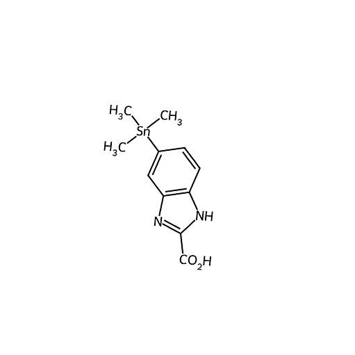 [CH3][Sn]([CH3])([CH3])[c]1ccc2[nH]c(C(=O)O)nc2c1